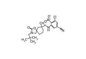 CC(C)(C)CN1CC2(CCCC(C)(CNc3cc(C#N)cc(Cl)c3[N+](=O)[O-])C2)OC1=O